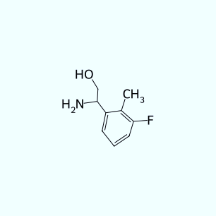 Cc1c(F)cccc1C(N)CO